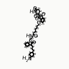 Nc1ccc(/C=C/C=C2/C(=O)N(CCNC(=O)CCCCCCOc3cccc4c3C(=O)N(C3CCC(=O)NC3=O)C4=O)c3ccccc32)cc1